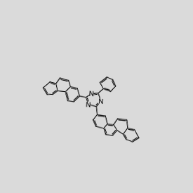 c1ccc(-c2nc(-c3ccc4c(ccc5ccccc54)c3)nc(-c3ccc4ccc5c6ccccc6ccc5c4c3)n2)cc1